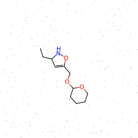 CCC1C=C(COC2CCCCO2)ON1